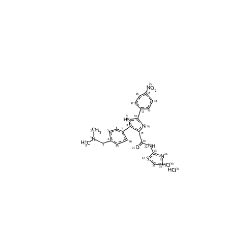 CN(C)Cc1ccc(-c2[nH]c(-c3ccc([N+](=O)[O-])cc3)nc2C(=O)Nc2nccs2)cc1.Cl.Cl